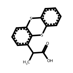 CC(C(=O)O)c1cccc2c1Sc1ccccc1S2